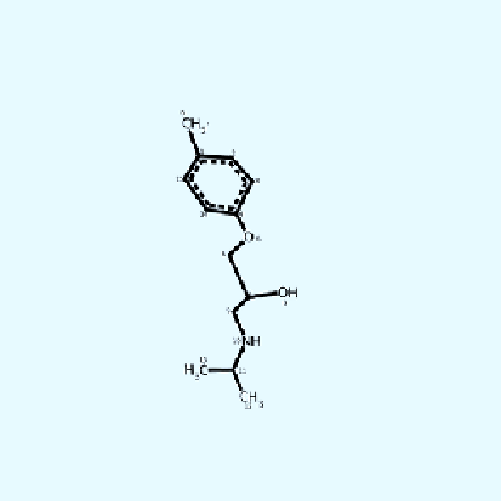 [CH2]c1ccc(OCC(O)CNC(C)C)cc1